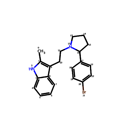 Cc1[nH]c2ccccc2c1CCN1CCCC1c1ccc(Br)cc1